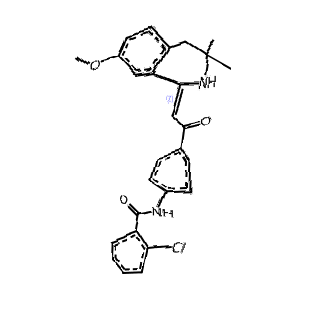 COc1ccc2c(c1)/C(=C/C(=O)c1ccc(NC(=O)c3ccccc3Cl)cc1)NC(C)(C)C2